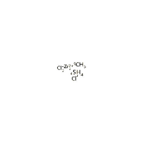 [CH3][Zr+2].[Cl-].[Cl-].[SiH4]